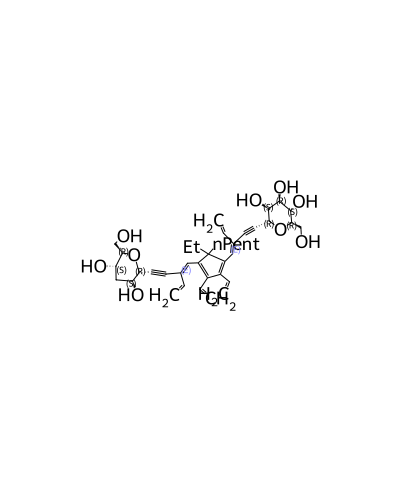 C=CC1=C(/C=C(/C#C[C@H]2O[C@H](CO)[C@@H](O)[C@H](O)[C@@H]2O)C=C)C(CC)(CCCCC)C(/C=C(/C#C[C@H]2O[C@H](CO)[C@@H](O)C[C@@H]2O)C=C)=C1C=C